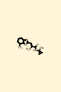 N#CC1(NC(=O)C(N)=Cc2nc3cccc(C(F)(F)F)c3o2)CC1